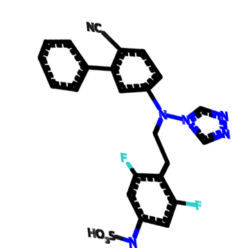 N#Cc1ccc(N(CCc2c(F)cc(NS(=O)(=O)O)cc2F)n2cnnc2)cc1-c1ccccc1